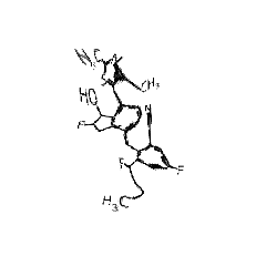 CCC(F)c1cc(F)cc(C#N)c1Cc1ccc(-c2sc(C)nc2C)c2c1CC(F)C2O